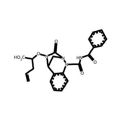 C=CCC(ON1C(=O)N2CC1c1ccccc1N2C(=O)NC(=O)c1ccccc1)C(=O)O